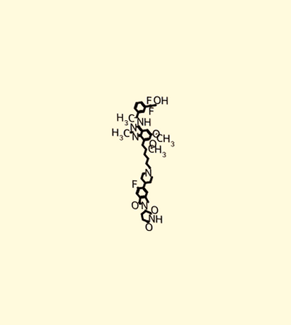 COc1cc2c(N[C@H](C)c3cccc(C(F)(F)CO)c3)nc(C)nc2c(CCCCCCN2CCC(c3cc4c(cc3F)C(=O)N(C3CCC(=O)NC3=O)C4)CC2)c1OC